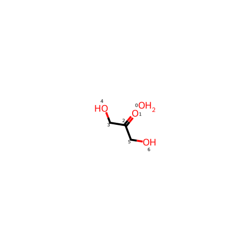 O.O=C(CO)CO